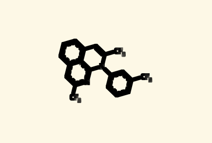 FC(F)(F)C1=Cc2cccc3cc(C(F)(F)F)nc(c23)N1c1cccc(C(F)(F)F)c1